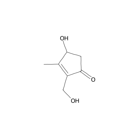 CC1=C(CO)C(=O)CC1O